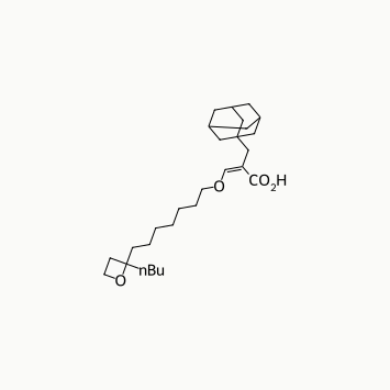 CCCCC1(CCCCCCCOC=C(CC23CC4CC(CC(C4)C2)C3)C(=O)O)CCO1